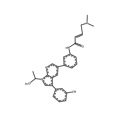 CC(=O)OC(C)n1cc(-c2cccc(C#N)c2)c2cc(-c3cccc(NC(=O)C=CCN(C)C)c3)cnc21